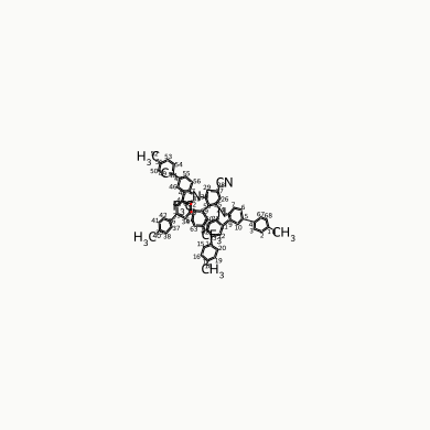 Cc1ccc(-c2ccc3c(c2)c2cc(-c4ccc(C)cc4)ccc2n3-c2cc(C#N)cc(-n3c4ccc(-c5ccc(C)cc5)cc4c4cc(-c5ccc(C)cc5)ccc43)c2-c2cc(C(F)(F)F)ccc2C(F)(F)F)cc1